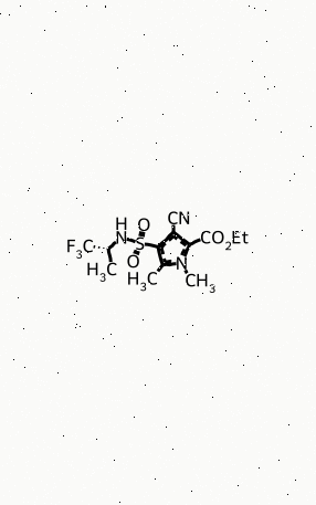 CCOC(=O)c1c(C#N)c(S(=O)(=O)N[C@H](C)C(F)(F)F)c(C)n1C